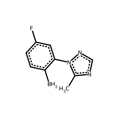 Bc1ccc(F)cc1-n1ncnc1C